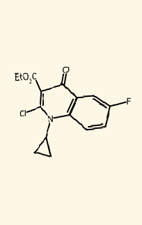 CCOC(=O)c1c(Cl)n(C2CC2)c2ccc(F)cc2c1=O